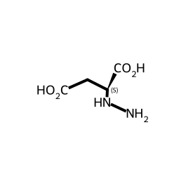 NN[C@@H](CC(=O)O)C(=O)O